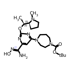 C[C@H](Oc1nc(/C(N)=N/O)cc(N2CCCN(C(=O)OC(C)(C)C)CC2)n1)[C@@H]1CCCN1C